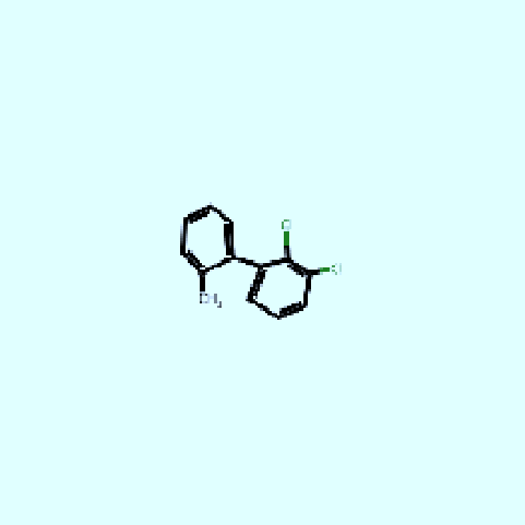 Cc1ccccc1-c1cccc(Cl)c1Cl